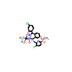 CC(C)(C)[S+]([O-])N[C@@H](Cc1nc(S(C)(=O)=O)ccc1F)c1ccccc1-c1noc2cc(Cl)ccc12